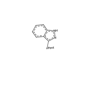 CCCCCc1n[nH]c2ccccc12